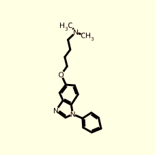 CN(C)CCCCOc1ccc2c(c1)ncn2-c1ccccc1